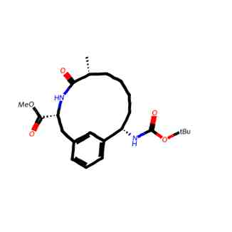 COC(=O)[C@H]1Cc2cccc(c2)[C@@H](NC(=O)OC(C)(C)C)CCCC[C@@H](C)C(=O)N1